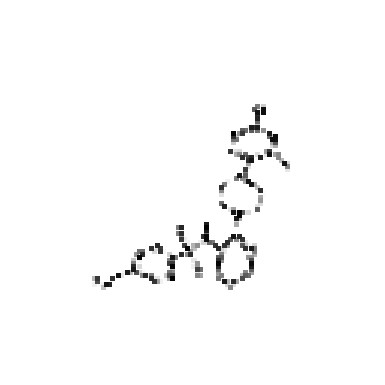 Cc1ccc(S(=O)(=O)Nc2cncnc2N2CCN(c3ccc(Cl)cc3F)CC2)cc1